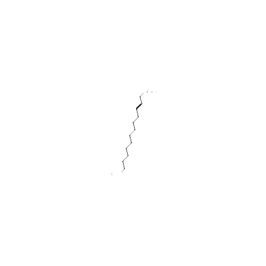 CCCCCCCCCC/C=C/CCCCCCCCC[C]=O